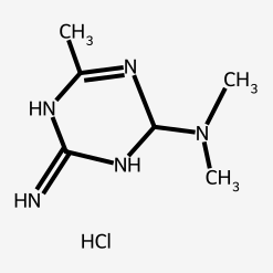 CC1=NC(N(C)C)NC(=N)N1.Cl